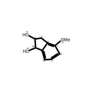 COc1cccc2c1CC(O)C2O